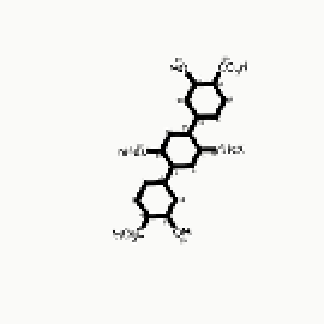 CCCCCCC1CC(C2CCC(C(=O)O)C(O)C2)C(CCCCCC)CC1C1CCC(C(=O)O)C(O)C1